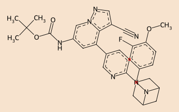 COc1ccc(CN2C3CC2CN(c2ccc(-c4cc(NC(=O)OC(C)(C)C)cn5ncc(C#N)c45)cn2)C3)cc1F